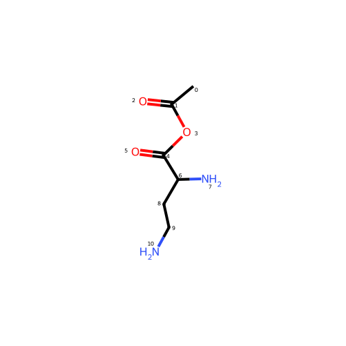 CC(=O)OC(=O)C(N)CCN